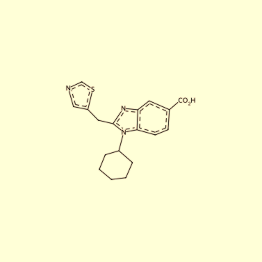 O=C(O)c1ccc2c(c1)nc(Cc1cncs1)n2C1CCCCC1